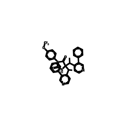 CC(c1ccncc1-c1ccccc1)C1(C(C)c2ccncc2-c2ccccc2)NC(=O)N(c2ccc(OC(F)(F)F)cc2)C1=O